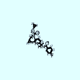 CC(C)(NC(=O)c1ccc(F)cc1)c1ccc2c(n1)C1CC1CN2C(=O)OC1CC1